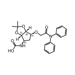 CC1(C)O[C@@H]2[C@H](O1)[C@@H](OCC(=O)N(c1ccccc1)c1ccccc1)C[C@H]2NC(=O)O